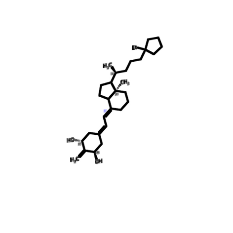 C=C1[C@H](O)CC(=C/C=C2\CCC[C@@]3(C)C2CCC3[C@@H](C)CCCC2(CC)CCCC2)C[C@H]1O